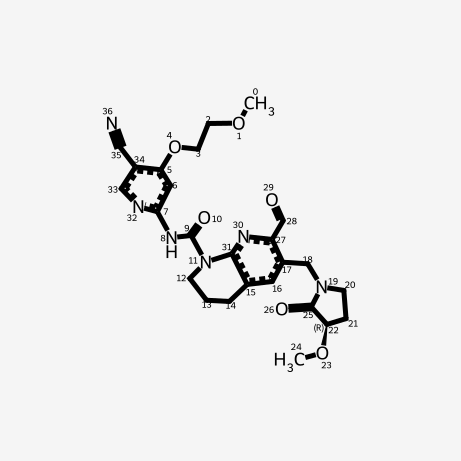 COCCOc1cc(NC(=O)N2CCCc3cc(CN4CC[C@@H](OC)C4=O)c(C=O)nc32)ncc1C#N